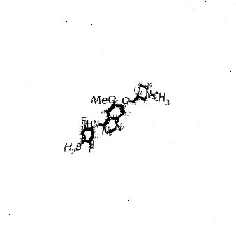 Bc1cc(F)c(Nc2ncnc3cc(OCC4CN(C)CCO4)c(OC)cc23)cc1F